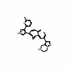 C=C1\C=C/C(c2c[nH]nc2-c2cccc(C)n2)=C/C=C/C1=C/C(=C\C)c1cnn2c1CNCC2